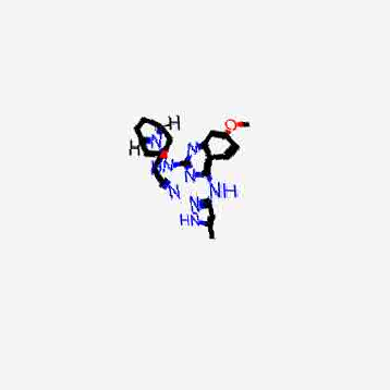 COc1ccc2c(Nc3cc(C)[nH]n3)nc(N[C@@H]3C[C@H]4CC[C@@H](C3)N4CCC#N)nc2c1